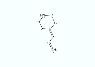 C=CC=C1CCNCC1